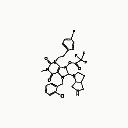 Cn1c(=O)c2c(n(CCc3ccc(F)cc3)c1=O)N(OC(=O)C(F)(F)F)C(N1CCC3CNCC31)N2Cc1ccccc1Cl